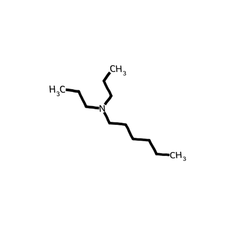 CCCCCCN(CCC)CCC